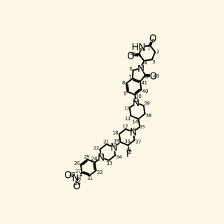 O=C1CCC(N2Cc3ccc(N4CCC(CN5CC[C@H](N6CCN(c7ccc([N+](=O)[O-])cc7)CC6)[C@H](F)C5)CC4)cc3C2=O)C(=O)N1